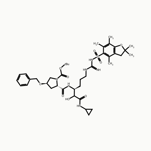 Cc1c(C)c(S(=O)(=O)NC(=N)NCCC[C@H](NC(=O)[C@@H]2C[C@@H](OCc3ccccc3)CN2C(=O)OC(C)(C)C)C(O)C(=O)NC2CC2)c(C)c2c1OC(C)(C)C2